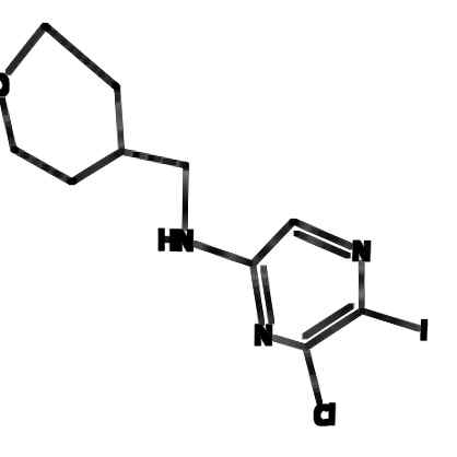 Clc1nc(NCC2CCOCC2)cnc1I